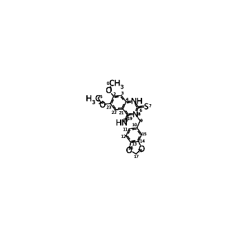 COc1cc2[nH]c(=S)n(Cc3ccc4c(c3)OCO4)c(=N)c2cc1OC